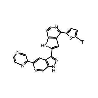 Fc1ccc(-c2nccc3[nH]c(-c4n[nH]c5cnc(-c6cnccn6)cc45)cc23)s1